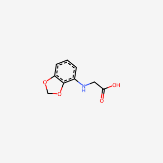 O=C(O)CNc1cccc2c1OCO2